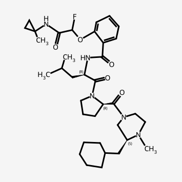 CC(C)C[C@@H](NC(=O)c1ccccc1OC(F)C(=O)NC1(C)CC1)C(=O)N1CCC[C@@H]1C(=O)N1CCN(C)[C@@H](CC2CCCCC2)C1